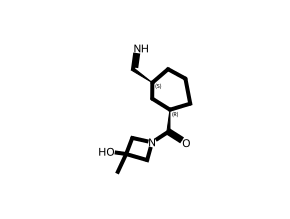 CC1(O)CN(C(=O)[C@@H]2CCC[C@H](C=N)C2)C1